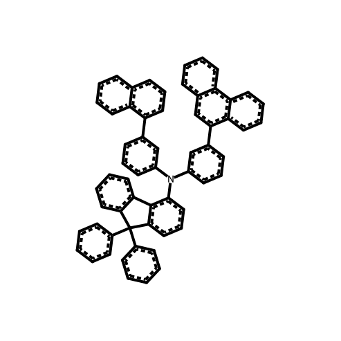 c1ccc(C2(c3ccccc3)c3ccccc3-c3c(N(c4cccc(-c5cccc6ccccc56)c4)c4cccc(-c5cc6ccccc6c6ccccc56)c4)cccc32)cc1